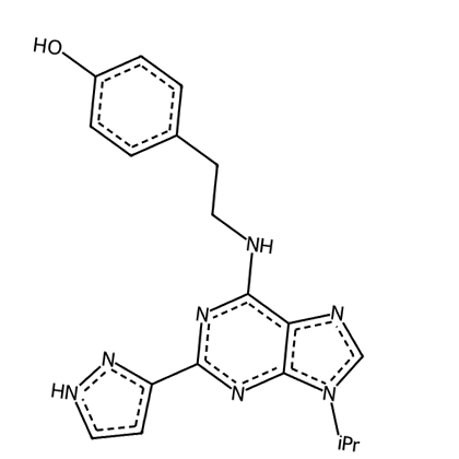 CC(C)n1cnc2c(NCCc3ccc(O)cc3)nc(-c3cc[nH]n3)nc21